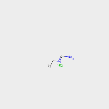 CCCN=CN.Cl